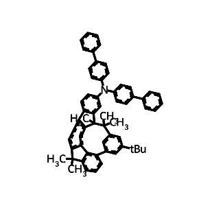 CC(C)(C)c1cc2cc(c1)C(C)(C)C1(C)c3cc(N(c4ccc(-c5ccccc5)cc4)c4ccc(-c5ccccc5)cc4)ccc3-c3cc4c(cc31)-c1c-2cccc1C4(C)C